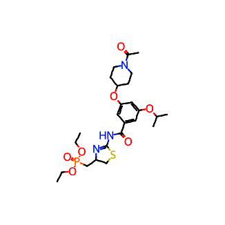 CCOP(=O)(CC1CSC(NC(=O)c2cc(OC(C)C)cc(OC3CCN(C(C)=O)CC3)c2)=N1)OCC